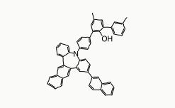 Cc1cccc(-c2cc(C)cc(-c3ccc(N4c5ccccc5-c5cc6ccccc6cc5-c5cc(-c6ccc7ccccc7c6)ccc54)cc3)c2O)c1